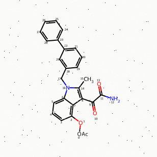 CC(=O)OOc1cccc2c1c(C(=O)C(N)=O)c(C)n2Cc1cccc(-c2ccccc2)c1